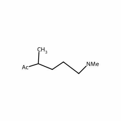 CNCCCC(C)C(C)=O